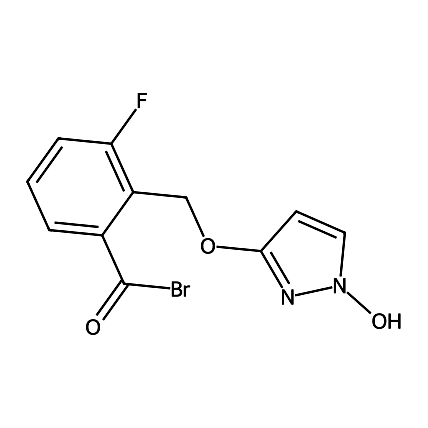 O=C(Br)c1cccc(F)c1COc1ccn(O)n1